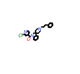 O=C(c1ccnc(Cl)c1)N1CC2(CCN(CC=Cc3ccccc3)CC2)c2ccccc21